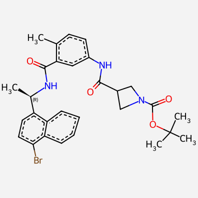 Cc1ccc(NC(=O)C2CN(C(=O)OC(C)(C)C)C2)cc1C(=O)N[C@H](C)c1ccc(Br)c2ccccc12